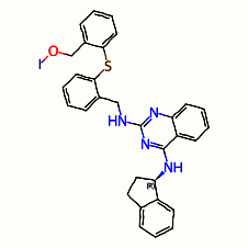 IOCc1ccccc1Sc1ccccc1CNc1nc(N[C@@H]2CCc3ccccc32)c2ccccc2n1